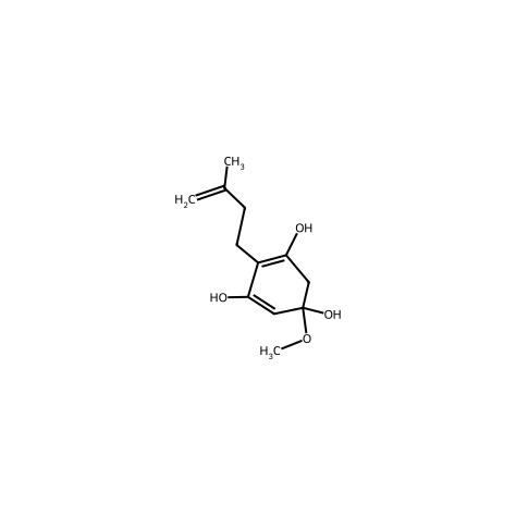 C=C(C)CCC1=C(O)CC(O)(OC)C=C1O